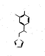 OC(Cn1ccnc1)c1ccc(Cl)c(Cl)c1